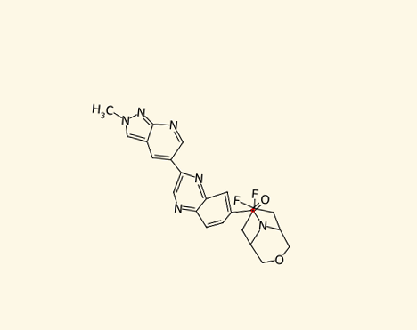 Cn1cc2cc(-c3cnc4ccc(C(=O)N5C6COCC5CC(F)(F)C6)cc4n3)cnc2n1